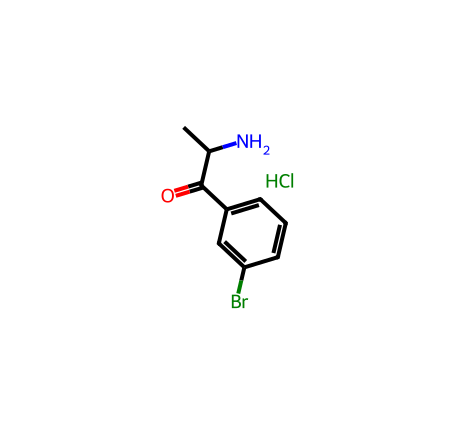 CC(N)C(=O)c1cccc(Br)c1.Cl